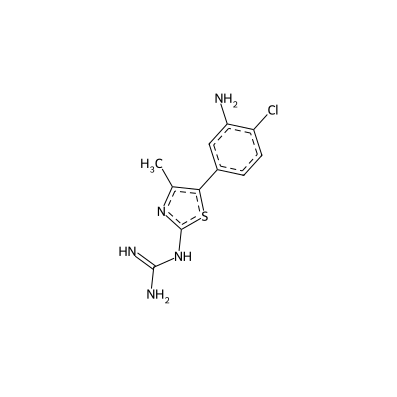 Cc1nc(NC(=N)N)sc1-c1ccc(Cl)c(N)c1